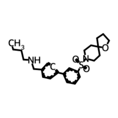 CCCCNCc1ccc(-c2cccc(S(=O)(=O)N3CCC4(CCCO4)CC3)c2)cc1